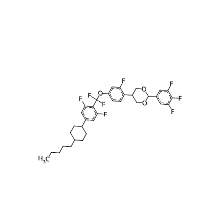 CCCCCC1CCC(c2cc(F)c(C(F)(F)Oc3ccc(C4COC(c5cc(F)c(F)c(F)c5)OC4)c(F)c3)c(F)c2)CC1